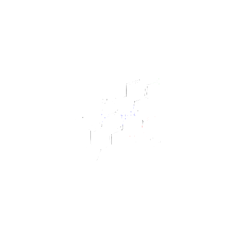 CSc1ccc(Cl)cc1N(C(=O)OC(C)(C)C)n1cnc2c(Br)cc(C)cc2c1=O